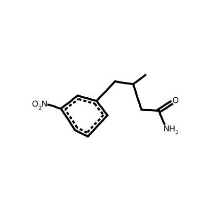 CC(CC(N)=O)Cc1cccc([N+](=O)[O-])c1